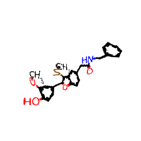 COc1cc(-c2oc3ccc(CC(=O)NCc4ccccc4)cc3c2SC)ccc1O